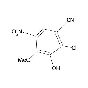 COc1c([N+](=O)[O-])cc(C#N)c(Cl)c1O